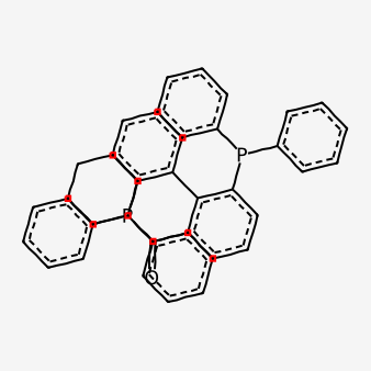 O=C(c1cccc(P(c2ccccc2)c2ccccc2)c1-c1ccccc1P(c1ccccc1)c1ccccc1)C1CCCCC1